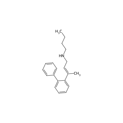 CCCCNCC=C(C)c1ccccc1-c1ccccc1